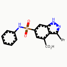 CC(C)c1n[nH]c2cc(S(=O)(=O)Nc3ccccc3)cc(C(=O)O)c12